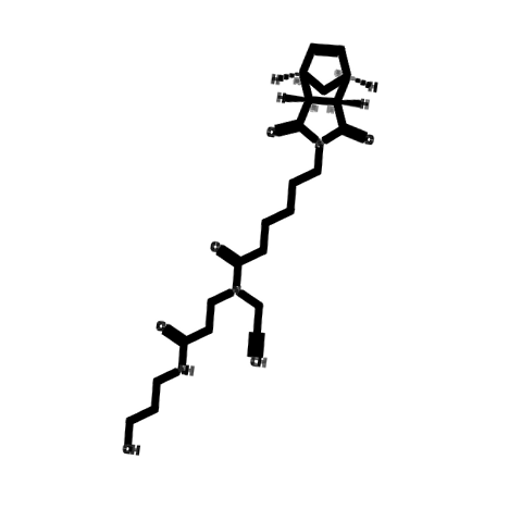 C#CCN(CCC(=O)NCCCO)C(=O)CCCCCN1C(=O)[C@@H]2[C@H](C1=O)[C@H]1C=C[C@@H]2C1